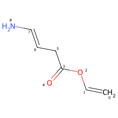 C=COC(=O)CC=CN